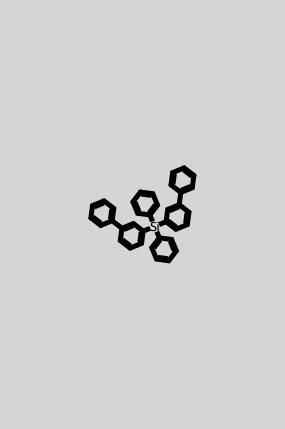 c1ccc(-c2cccc([Si](c3ccccc3)(c3ccccc3)c3cccc(-c4ccccc4)c3)c2)cc1